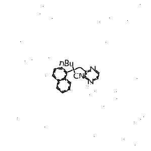 CCCCC(C#N)(Cc1cnccn1)c1cccc2ccccc12